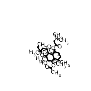 C=C[C@@]1(C)CC(=O)[C@]2(O)[C@@]3(C)[C@@H](OC(=O)CN(C)C)CCC(C)(C)[C@@H]3[C@H](OC(C)=O)[C@H](O)[C@@]2(C)O1